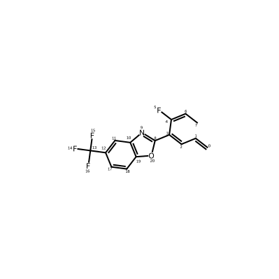 C=C/C=C(\C(F)=C/C)c1nc2cc(C(F)(F)F)ccc2o1